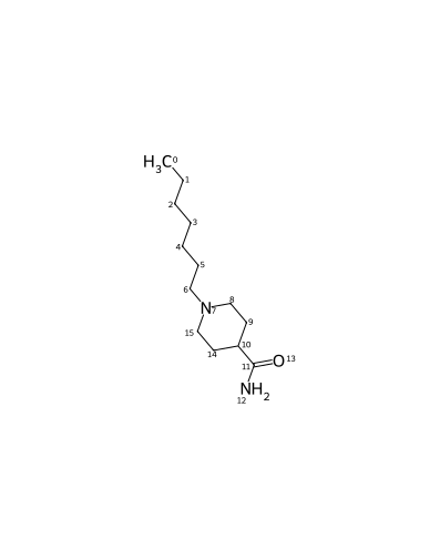 CCCCCCCN1CCC(C(N)=O)CC1